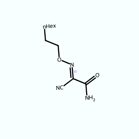 CCCCCCCCO/N=C(\C#N)C(N)=O